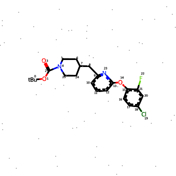 CC(C)(C)OC(=O)N1CCC(Cc2cccc(Oc3ccc(Cl)cc3F)n2)CC1